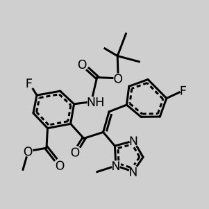 COC(=O)c1cc(F)cc(NC(=O)OC(C)(C)C)c1C(=O)C(=Cc1ccc(F)cc1)c1ncnn1C